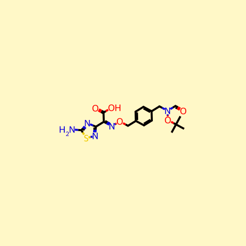 CC(C)(C)ON(C=O)Cc1ccc(CON=C(C(=O)O)c2nsc(N)n2)cc1